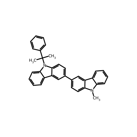 Cn1c2ccccc2c2cc(-c3ccc4c(c3)c3ccccc3n4C(C)(C)c3ccccc3)ccc21